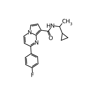 CC(NC(=O)c1ccn2ccc(-c3ccc(F)cc3)nc12)C1CC1